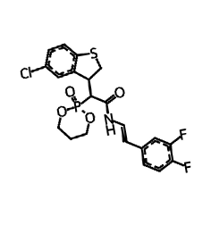 O=C(N/C=C/c1ccc(F)c(F)c1)C(C1CSc2ccc(Cl)cc21)P1(=O)OCCCO1